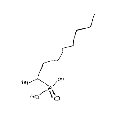 CCCCCCCC([NH])P(=O)(O)O